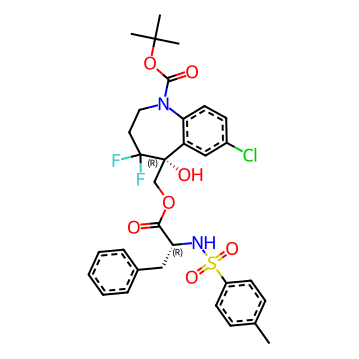 Cc1ccc(S(=O)(=O)N[C@H](Cc2ccccc2)C(=O)OC[C@]2(O)c3cc(Cl)ccc3N(C(=O)OC(C)(C)C)CCC2(F)F)cc1